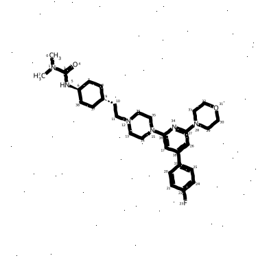 CN(C)C(=O)N[C@H]1CC[C@H](CCN2CCN(c3cc(-c4ccc(F)cc4)cc(N4CCOCC4)n3)CC2)CC1